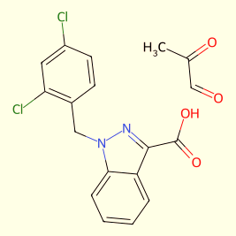 CC(=O)C=O.O=C(O)c1nn(Cc2ccc(Cl)cc2Cl)c2ccccc12